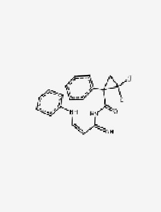 N=C(/C=C\Nc1ccccc1)NC(=O)C1(c2ccccc2)CC1(Cl)Cl